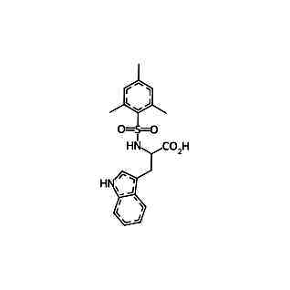 Cc1cc(C)c(S(=O)(=O)NC(Cc2c[nH]c3ccccc23)C(=O)O)c(C)c1